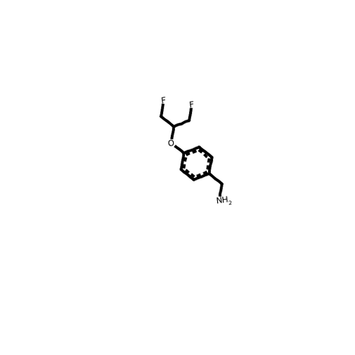 NCc1ccc(OC(CF)CF)cc1